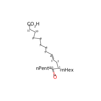 CCCCCCC(CC=CCCCCCCCC(=O)O)C(=O)CCCCC